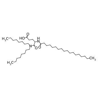 CCCCCCCCCCCCCCCCCC(=O)NC(CCC(=O)O)C(=O)N(CCCCCCCC)CCCCCCCC